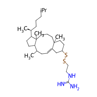 CC(C)CCC[C@H](C)C1CCC2C(C)C/C=C3/CC(SSCCNC(=N)N)CCC3(C)CCCC21C